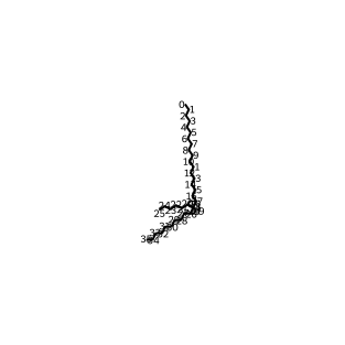 CCCCCCCCCCCCCCCCCC[Si](C)(CCCCCC)CCCCCCCCCC